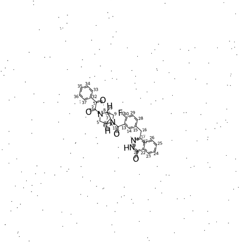 O=C(C(=O)N1C[C@@H]2C[C@H]1CN2C(=O)c1cc(Cc2n[nH]c(=O)c3ccccc23)ccc1F)c1ccccc1